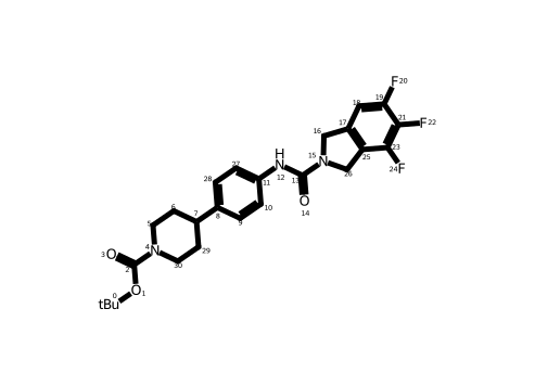 CC(C)(C)OC(=O)N1CCC(c2ccc(NC(=O)N3Cc4cc(F)c(F)c(F)c4C3)cc2)CC1